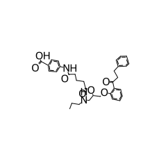 CCCNCC(COc1ccccc1C(=O)CCc1ccccc1)OC(=O)CCCC(=O)Nc1ccc(C(=O)O)cc1